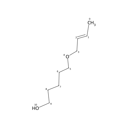 CC=CCOCCCCCO